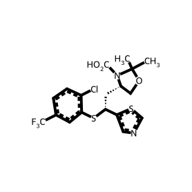 CC1(C)OC[C@H](C[C@@H](Sc2cc(C(F)(F)F)ccc2Cl)c2cncs2)N1C(=O)O